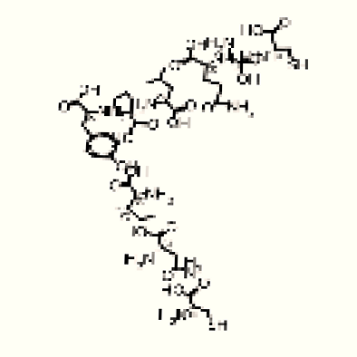 CC(C)C[C@H](N)C(=O)O.CC[C@H](C)[C@H](N)C(=O)O.NC(=O)CC[C@H](N)C(=O)O.NC(=O)C[C@H](N)C(=O)O.NCC(=O)O.N[C@@H](CS)C(=O)O.N[C@@H](CS)C(=O)O.N[C@@H](Cc1ccc(O)cc1)C(=O)O.O=C(O)[C@@H]1CCCN1